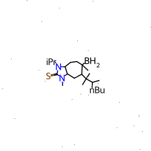 BC1(C)CCC2C(CC1C(C)(C)C(C)CCCC)N(C)C(=S)N2C(C)C